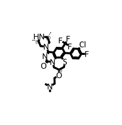 C[C@@H]1CN(c2nc(=O)n3c4c(c(-c5ccc(F)c(Cl)c5)c(C(F)(F)F)cc24)SC[C@@H](OCCN(C)C)C3)C[C@H](C)N1